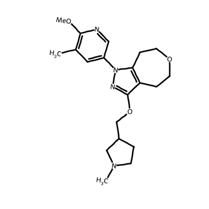 COc1ncc(-n2nc(OCC3CCN(C)C3)c3c2CCOCC3)cc1C